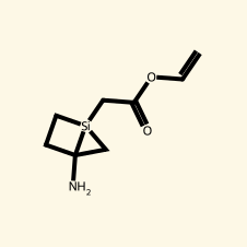 C=COC(=O)C[Si]12CCC1(N)C2